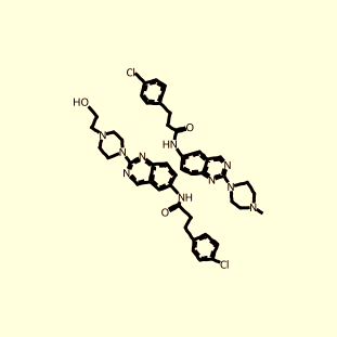 CN1CCN(c2ncc3cc(NC(=O)CCc4ccc(Cl)cc4)ccc3n2)CC1.O=C(CCc1ccc(Cl)cc1)Nc1ccc2nc(N3CCN(CCO)CC3)ncc2c1